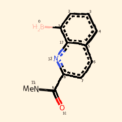 Bc1cccc2ccc(C(=O)NC)nc12